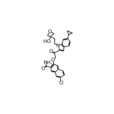 NC(=O)c1cc2cc(Cl)ccc2cc1OCC(=O)c1cc2ccc(C3CC3)cc2n1CCC1(O)COC1